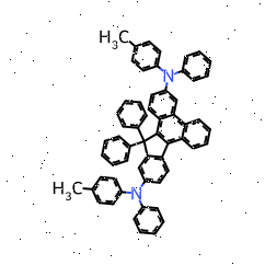 Cc1ccc(N(c2ccccc2)c2ccc3c(c2)C(c2ccccc2)(c2ccccc2)c2c-3c3ccccc3c3cc(N(c4ccccc4)c4ccc(C)cc4)ccc23)cc1